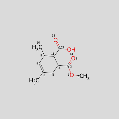 COC(=O)C1CC(C)=CC(C)C1C(=O)O